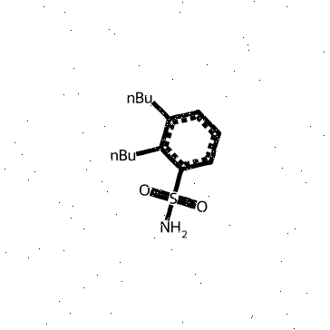 CCCCc1cccc(S(N)(=O)=O)c1CCCC